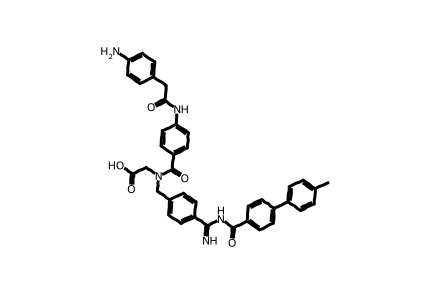 Cc1ccc(-c2ccc(C(=O)NC(=N)c3ccc(CN(CC(=O)O)C(=O)c4ccc(NC(=O)Cc5ccc(N)cc5)cc4)cc3)cc2)cc1